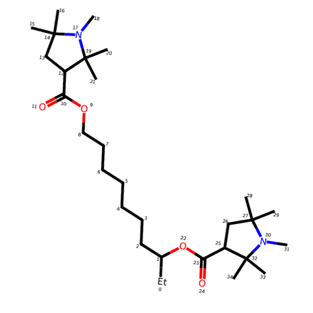 CCC(CCCCCCCOC(=O)C1CC(C)(C)N(C)C1(C)C)OC(=O)C1CC(C)(C)N(C)C1(C)C